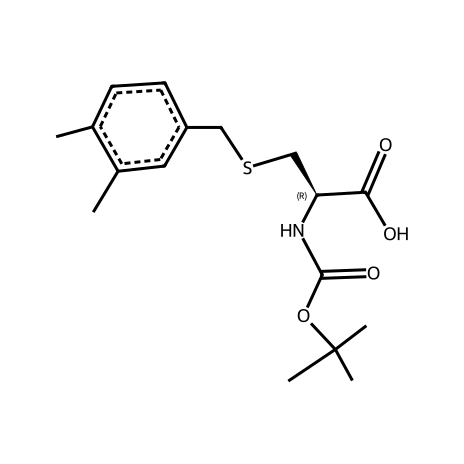 Cc1ccc(CSC[C@H](NC(=O)OC(C)(C)C)C(=O)O)cc1C